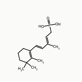 CC(C=CC1=C(C)C(C)(C)CCC1)=CCP(=O)(O)O